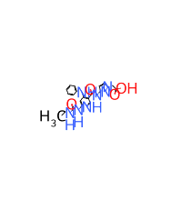 CCNC(=O)Nc1cc(Nc2ccccc2)c(C(=O)Nc2ccn(CC(=O)O)n2)cn1